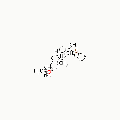 C[C@@H](CSc1ccccc1)[C@H]1CC[C@H]2C3=CC=C4C[C@@H](O[Si](C)(C)C(C)(C)C)CC[C@]4(C)[C@H]3CC[C@]12C